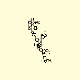 COc1cc(CN2CCN(C3CC4(CCN(c5ccc(C(=O)NS(=O)(=O)c6ccc(NC[C@H]7CC[C@](C)(O)CC7)c([N+](=O)[O-])c6)c(Oc6cnc7[nH]ccc7c6)c5)CC4)C3)[C@H](c3ccccc3C(C)C)C2)ccc1Cl